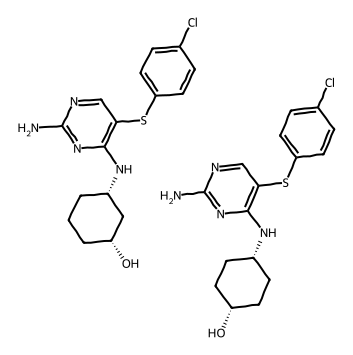 Nc1ncc(Sc2ccc(Cl)cc2)c(N[C@H]2CCC[C@@H](O)C2)n1.Nc1ncc(Sc2ccc(Cl)cc2)c(N[C@H]2CC[C@@H](O)CC2)n1